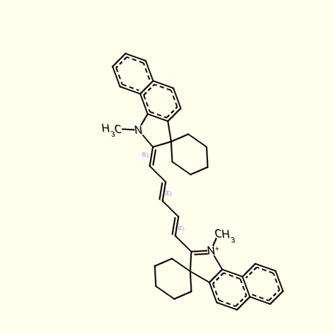 CN1/C(=C/C=C/C=C/C2=[N+](C)c3c(ccc4ccccc34)C23CCCCC3)C2(CCCCC2)c2ccc3ccccc3c21